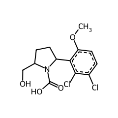 COc1ccc(Cl)c(Cl)c1C1CCC(CO)N1C(=O)O